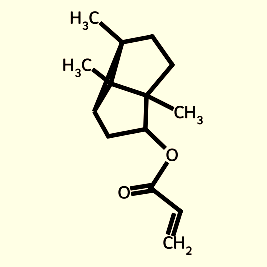 C=CC(=O)OC1CC2C3(C)CCC1(C)C23C